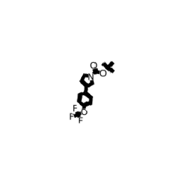 CC(C)(C)OC(=O)N1CC=C(c2ccc(OC(F)(F)F)cc2)C1